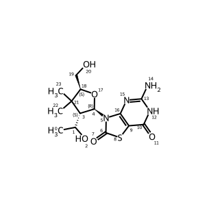 CC(O)[C@H]1[C@H](n2c(=O)sc3c(=O)[nH]c(N)nc32)O[C@H](CO)C1(C)C